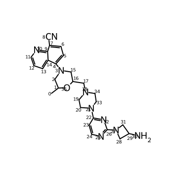 CC1CN(c2ccc(C#N)c3ncccc23)CC(CN2CCN(c3ccnc(N4CC(N)C4)n3)CC2)O1